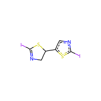 IC1=NCC(c2cnc(I)s2)S1